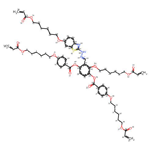 C=CC(=O)OCCCCCCOc1ccc(C(=O)Oc2ccc(OC(=O)c3ccc(OCCCCCCOC(=O)C=C)cc3)c(OCCCCCCOC(=O)C=C)c2/C=N/Nc2nc3ccc(OCCCCCCOC(=O)C=C)cc3s2)cc1